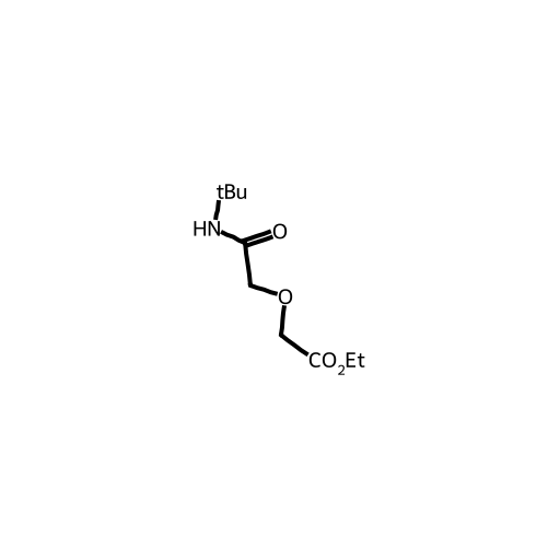 CCOC(=O)COCC(=O)NC(C)(C)C